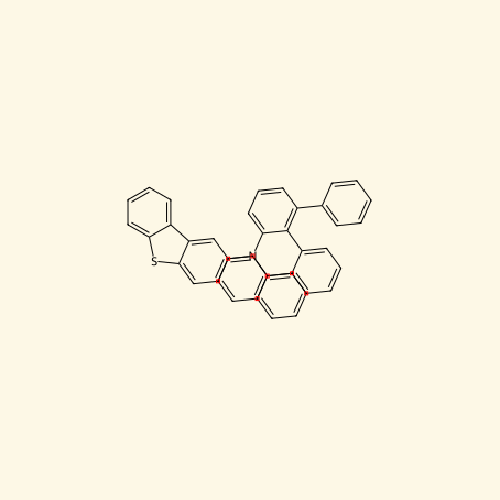 c1ccc(-c2ccccc2-c2c(-c3ccccc3)cccc2N(c2ccccc2)c2ccc3sc4ccccc4c3c2)cc1